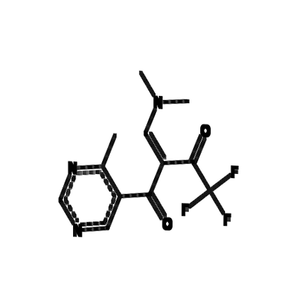 Cc1ncncc1C(=O)C(=CN(C)C)C(=O)C(F)(F)F